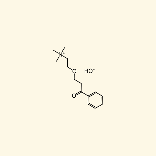 C[N+](C)(C)CCOCCC(=O)c1ccccc1.[OH-]